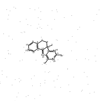 Cc1cc(C2(C)CCc3ccncc3C2=O)nc(C)n1